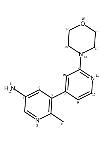 Cc1ncc(N)cc1-c1ccnc(N2CCOCC2)c1